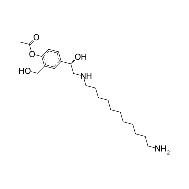 CC(=O)Oc1ccc([C@@H](O)CNCCCCCCCCCCCN)cc1CO